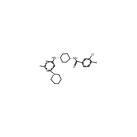 Cc1nc(N[C@H]2CC[C@@H](NC(=O)c3ccc(F)c(Cl)c3)CC2)cc(N2CCCCC2)n1